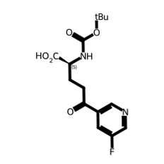 CC(C)(C)OC(=O)N[C@@H](CCC(=O)c1cncc(F)c1)C(=O)O